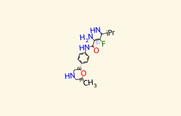 CC(C)C(=N)/C(F)=C(\N)C(=O)Nc1ccc([C@H]2CNC[C@@H](C)O2)cc1